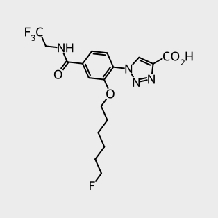 O=C(NCC(F)(F)F)c1ccc(-n2cc(C(=O)O)nn2)c(OCCCCCCF)c1